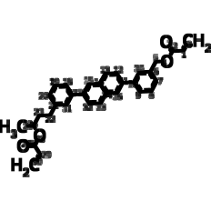 C=CC(=O)OCc1cccc(-c2ccc3cc(-c4cccc(CCC(C)OC(=O)C=C)c4)ccc3c2)c1